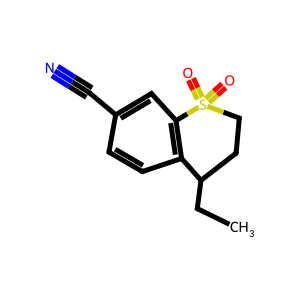 CCC1CCS(=O)(=O)c2cc(C#N)ccc21